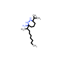 CCCCCCCC(C)C1(N)CCCC(C(C)C)NN1